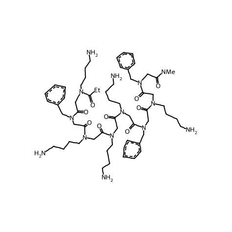 CCC(=O)N(CCCCN)CC(=O)N(CC(=O)N(CCCCN)CC(=O)N(CCCCN)CC(=O)N(CCCCN)CC(=O)N(CC(=O)N(CCCCN)CC(=O)N(CC(=O)NC)Cc1ccccc1)Cc1ccccc1)Cc1ccccc1